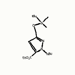 CCCCn1nc(O[Si](C)(C)C(C)(C)C)cc1C(=O)OCC